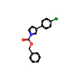 O=C(OCc1ccccc1)n1ccc(-c2ccc(Br)cc2)c1